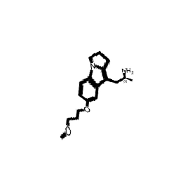 COCCCOc1ccc2c(c1)c(C[C@H](C)N)c1n2CCC1